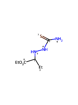 CCOC(=O)C(CC)NNC(N)=S